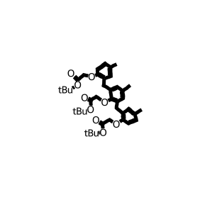 Cc1ccc(OCC(=O)OC(C)(C)C)c(Cc2cc(C)cc(Cc3cc(C)ccc3OCC(=O)OC(C)(C)C)c2OCC(=O)OC(C)(C)C)c1